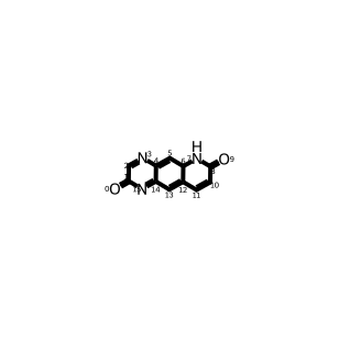 O=C1C=NC2=CC3NC(=O)C=CC3=CC2=N1